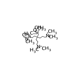 CCN(C)CCCC(CCCN(C)CC)(CCCN(C)CC)C[Si](CC)(CC)OC